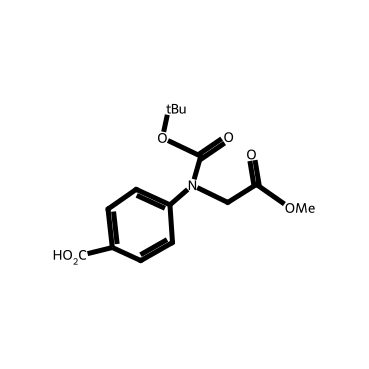 COC(=O)CN(C(=O)OC(C)(C)C)c1ccc(C(=O)O)cc1